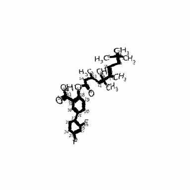 C/C(=C\CC(C)(C)C)C(C)(C)CC(C)CC(=O)Oc1ccc(-c2ccc(F)cc2F)cc1C(=O)O